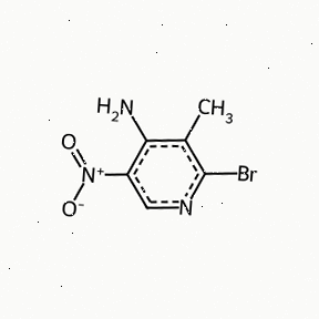 Cc1c(Br)ncc([N+](=O)[O-])c1N